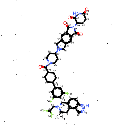 C[C@@H]1Cc2c(ccc3[nH]ncc23)[C@@H](c2c(F)cc(C3CCC(C(=O)N4CCC(N5Cc6cc7c(cc6C5)C(=O)N(C5CCC(=O)NC5=O)C7=O)CC4)CC3)cc2F)N1CC(F)F